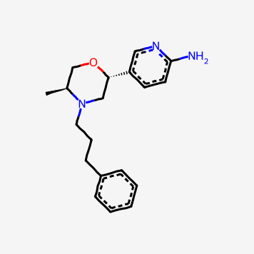 C[C@H]1CO[C@H](c2ccc(N)nc2)CN1CCCc1ccccc1